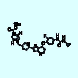 CC(C)(C)OC(=O)N1C[C@@H]2C[C@H]1CN2Cc1ccc(-c2cc3nccc(Oc4ccc(NC(=O)NC5CC5)cc4F)c3s2)nc1